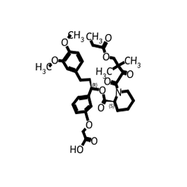 CCC(=O)OCC(C)(C)C(=O)C(=O)N1CCCC[C@H]1C(=O)O[C@H](CCc1ccc(OC)c(OC)c1)c1cccc(OCC(=O)O)c1